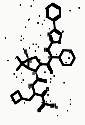 CC1(C)C2[C@@H](C(=O)NC(CC3CCC3)C(=O)C(N)=O)N(C(=O)[C@@H](Nc3nc(-c4ccccc4)cs3)C3CCCCC3)C[C@@H]21